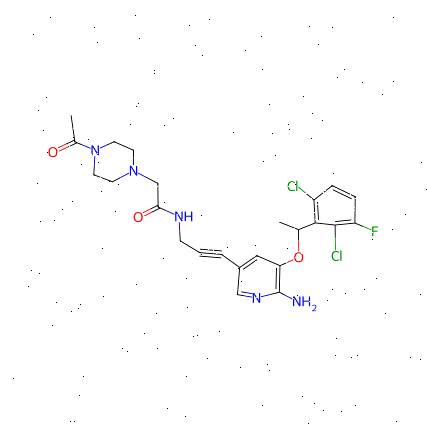 CC(=O)N1CCN(CC(=O)NCC#Cc2cnc(N)c(OC(C)c3c(Cl)ccc(F)c3Cl)c2)CC1